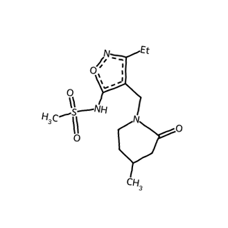 CCc1noc(NS(C)(=O)=O)c1CN1CCC(C)CC1=O